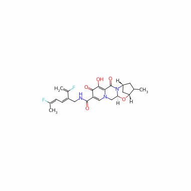 C=C(F)/C(=C\C=C(/C)F)CNC(=O)c1cn2c(c(O)c1=O)C(=O)N1[C@@H]3CC(C)[C@@H](C3)O[C@H]1C2